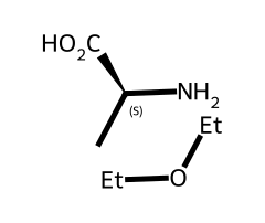 CCOCC.C[C@H](N)C(=O)O